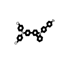 Clc1ccc(N(c2ccc(Cl)cc2)c2ccc(-c3ccc4c(c3)c3ccccc3n4-c3ccc(-c4ccc(Br)cc4)cc3)cc2)cc1